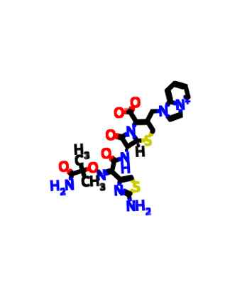 CC(C)(O/N=C(\C(=O)N[C@@H]1C(=O)N2C(C(=O)[O-])=C(Cn3cc[n+]4ccccc34)CS[C@@H]12)c1csc(N)n1)C(N)=O